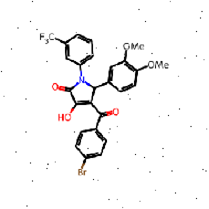 COc1ccc(C2C(C(=O)c3ccc(Br)cc3)=C(O)C(=O)N2c2cccc(C(F)(F)F)c2)cc1OC